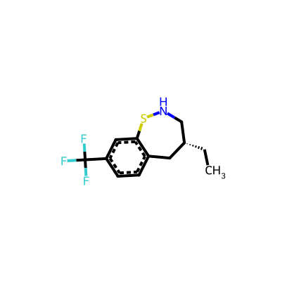 CC[C@H]1CNSc2cc(C(F)(F)F)ccc2C1